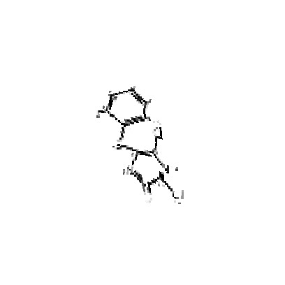 Cc1ccccc1Sc1nnc(Cl)nc1Cl